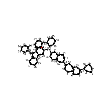 c1ccc(-c2ccc3ccc(-c4ccc5cc(N(c6ccc7c(c6)c6ccccc6n7-c6ccccc6)c6ccccc6-c6ccccc6)ccc5c4)cc3c2)cc1